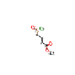 CCOC(=O)CCC[S+]([O-])Cl